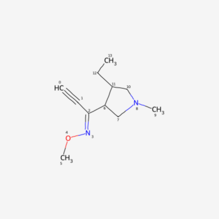 C#C/C(=N\OC)C1CN(C)CC1CC